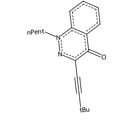 CCCCCn1nc(C#CC(C)(C)C)c(=O)c2ccccc21